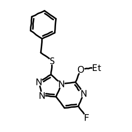 CCOc1nc(F)cc2nnc(SCc3ccccc3)n12